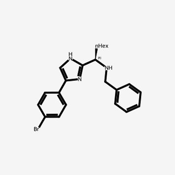 CCCCCC[C@@H](NCc1ccccc1)c1nc(-c2ccc(Br)cc2)c[nH]1